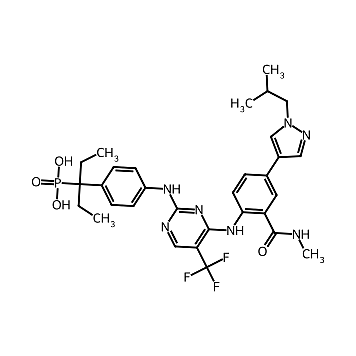 CCC(CC)(c1ccc(Nc2ncc(C(F)(F)F)c(Nc3ccc(-c4cnn(CC(C)C)c4)cc3C(=O)NC)n2)cc1)P(=O)(O)O